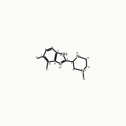 Cc1ccc2[nH]c(C3CN(C)CC[N]3)nc2c1C